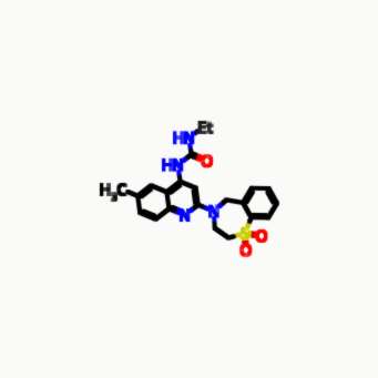 CCNC(=O)Nc1cc(N2CCS(=O)(=O)c3ccccc3C2)nc2ccc(C)cc12